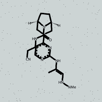 CNN/C=C(\C)Nc1nccc(N2C[C@H]3CC[C@@H](C2)N3C(=O)NCCC#N)n1